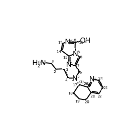 NCCCCN(Cc1cn2c(O)nccc2n1)[C@H]1CCCc2cccnc21